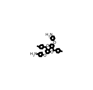 Cc1ccc(C(=O)c2cc(Oc3ccc(N)cc3)ccc2-c2ccc(Oc3ccc(N)cc3)cc2C(=O)c2ccc(C)cc2)cc1